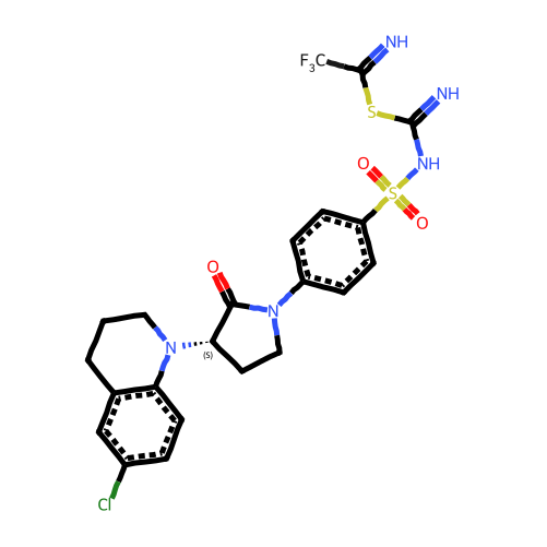 N=C(NS(=O)(=O)c1ccc(N2CC[C@H](N3CCCc4cc(Cl)ccc43)C2=O)cc1)SC(=N)C(F)(F)F